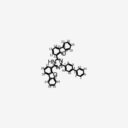 c1ccc(-c2ccc(C3=NC(c4cccc5c4oc4ccccc45)NC(c4cccc5c4oc4ccccc45)=N3)cc2)cc1